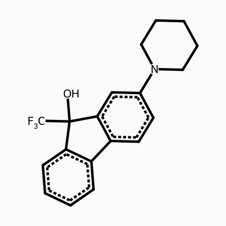 OC1(C(F)(F)F)c2ccccc2-c2ccc(N3CCCCC3)cc21